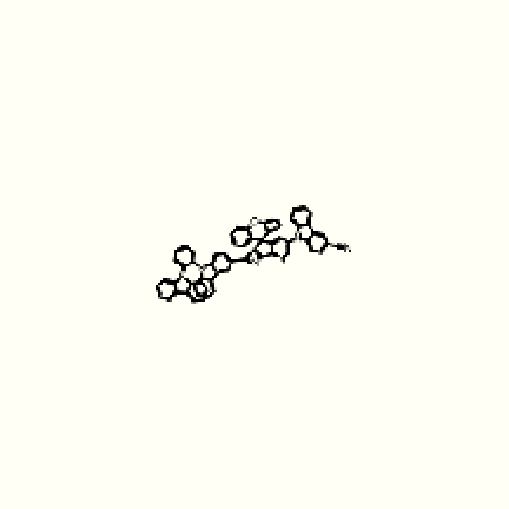 N#Cc1ccc2c(c1)c1ccccc1n2-c1cnc2c(c1)C1(c3ccccc3Oc3ccccc31)c1cc(-c3ccc4c(c3)c3ccccc3n4-c3ccccc3-n3c4ccccc4c4ccccc43)cnc1-2